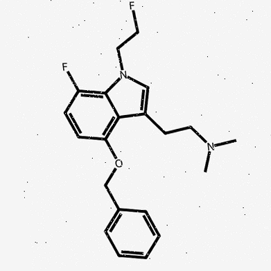 CN(C)CCc1cn(CCF)c2c(F)ccc(OCc3ccccc3)c12